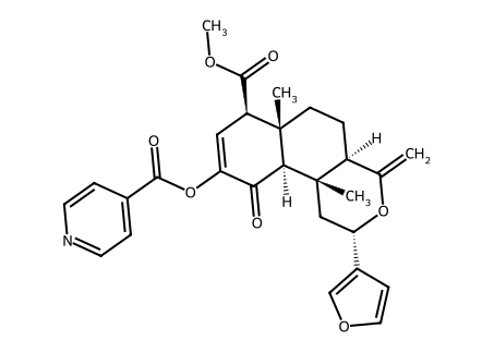 C=C1O[C@H](c2ccoc2)C[C@]2(C)[C@H]3C(=O)C(OC(=O)c4ccncc4)=C[C@@H](C(=O)OC)[C@]3(C)CC[C@@H]12